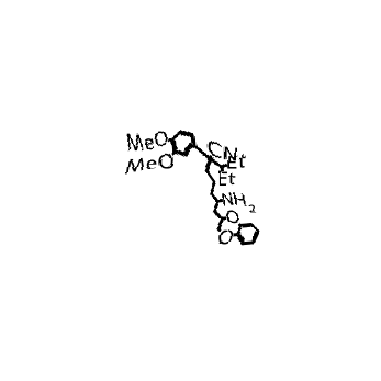 CCC(CC)C(C#N)(CCCC(N)CC1COc2ccccc2O1)c1ccc(OC)c(OC)c1